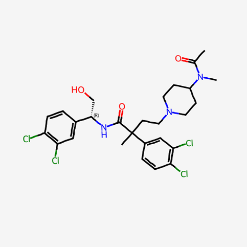 CC(=O)N(C)C1CCN(CCC(C)(C(=O)N[C@@H](CO)c2ccc(Cl)c(Cl)c2)c2ccc(Cl)c(Cl)c2)CC1